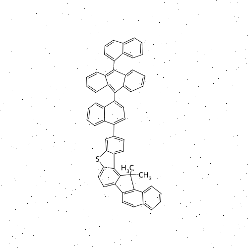 CC1(C)c2c(ccc3ccccc23)-c2ccc3sc4cc(-c5ccc(-c6c7ccccc7c(-c7cccc8ccccc78)c7ccccc67)c6ccccc56)ccc4c3c21